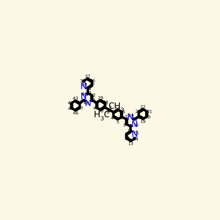 CC(C)(c1ccc(-c2cc(-c3ccccn3)nc(-c3ccccc3)n2)cc1)c1ccc(-c2cc(-c3ccccn3)nc(-c3ccccc3)n2)cc1